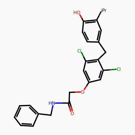 CC(C)c1cc(Cc2c(Cl)cc(OCC(=O)NCc3ccccc3)cc2Cl)ccc1O